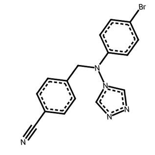 N#Cc1ccc(CN(c2ccc(Br)cc2)n2cnnc2)cc1